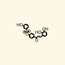 O=C(/C=C/c1cccc(O)c1O)c1ccc(OS(=O)(=O)c2cccc(O)c2)cc1